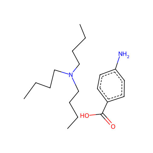 CCCCN(CCCC)CCCC.Nc1ccc(C(=O)O)cc1